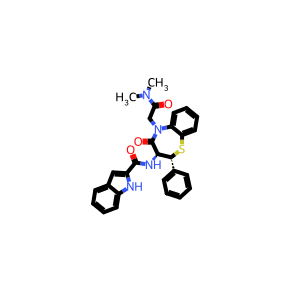 CN(C)C(=O)CN1C(=O)[C@H](NC(=O)c2cc3ccccc3[nH]2)[C@@H](c2ccccc2)Sc2ccccc21